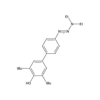 CCN(CC)/N=N/c1ccc(-c2cc(C(C)(C)C)c(O)c(C(C)(C)C)c2)cc1